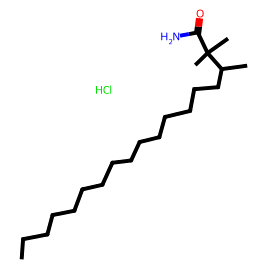 CCCCCCCCCCCCCCCC(C)C(C)(C)C(N)=O.Cl